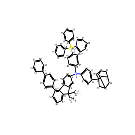 CC1(C)c2cc(N(c3ccc(C45CC6CC(CC(C6)C4)C5)cc3)c3ccc(S(c4ccccc4)(c4ccccc4)c4ccccc4)cc3)ccc2-c2c(-c3ccc(-c4ccccc4)cc3)cccc21